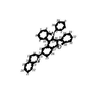 c1ccc(-n2c3ccccc3c3c4cc(-c5ccc6ccccc6n5)ccc4c4oc5ccccc5c4c32)cc1